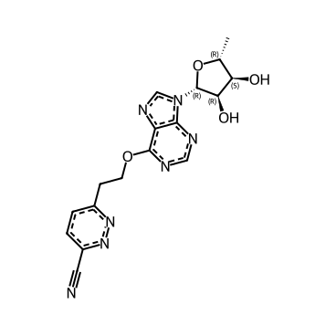 C[C@H]1O[C@@H](n2cnc3c(OCCc4ccc(C#N)nn4)ncnc32)[C@H](O)[C@@H]1O